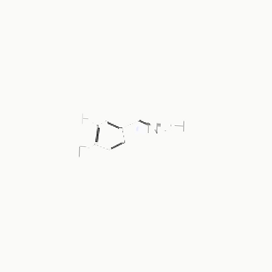 O/N=C/c1ccc(F)c(F)c1